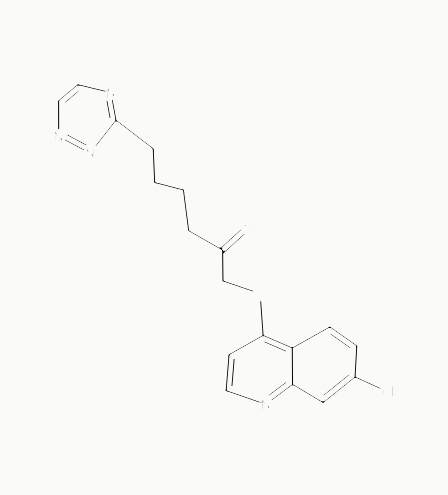 O=C(CCCCc1nccnn1)COc1ccnc2cc(Cl)ccc12